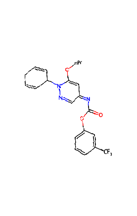 CCCOc1cc(=NC(=O)Oc2cccc(C(F)(F)F)c2)cnn1C1C=CCC=C1